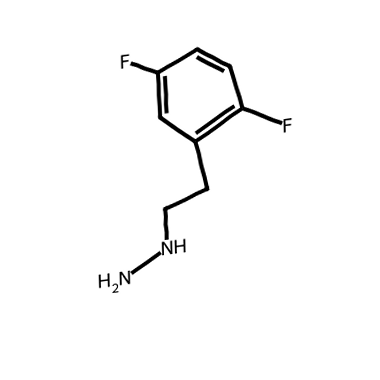 NNCCc1cc(F)ccc1F